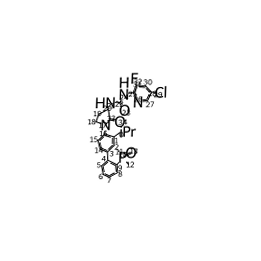 CC(C)c1cc(-c2ccccc2P(C)(C)=O)ccc1N1CCC(NC(=O)Nc2ncc(Cl)cc2F)C1=O